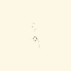 CC(C)(C)OC(=O)N1CC(OCc2cn(COCCS(C)(C)C)nc2I)C1